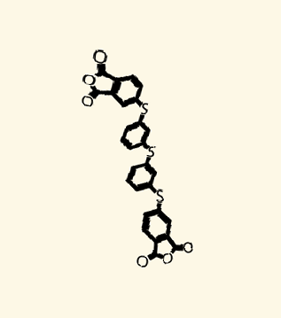 O=C1OC(=O)c2cc(Sc3cccc(Sc4cccc(Sc5ccc6c(c5)C(=O)OC6=O)c4)c3)ccc21